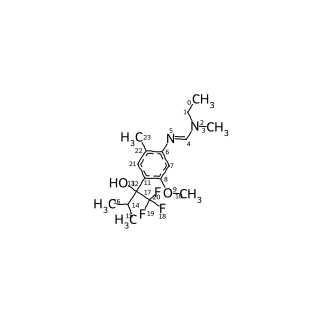 CCN(C)/C=N/c1cc(OC)c(C(O)(C(C)C)C(F)(F)F)cc1C